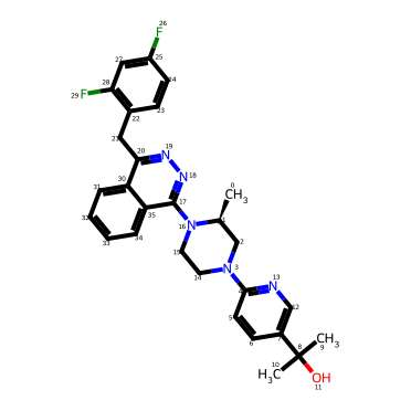 C[C@H]1CN(c2ccc(C(C)(C)O)cn2)CCN1c1nnc(Cc2ccc(F)cc2F)c2ccccc12